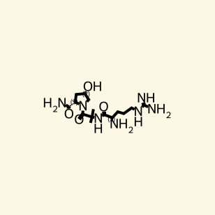 CC(C)(NC(=O)[C@@H](N)CCCNC(=N)N)C(=O)N1C[C@H](O)C[C@H]1C(N)=O